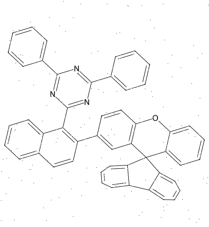 c1ccc(-c2nc(-c3ccccc3)nc(-c3c(-c4ccc5c(c4)C4(c6ccccc6O5)c5ccccc5-c5ccccc54)ccc4ccccc34)n2)cc1